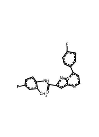 Cc1cc(F)ccc1NC(=O)c1cc2nccc(-c3ccc(F)cc3)n2n1